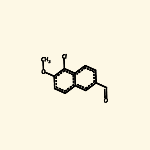 COc1ccc2cc(C=O)ccc2c1Cl